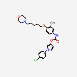 N#Cc1cc(NC(=O)Oc2ccn(-c3ccc(Cl)cc3)c2)ccc1SCCCCCN1CCOCC1